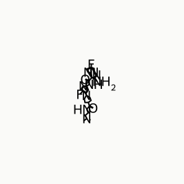 CN(C)CCNC(=O)C1CCN(c2cc(NC(=O)c3c(N)nn4cc(F)cnc34)ncc2F)CC1